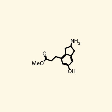 COC(=O)CCc1cc(O)cc2c1CC(N)C2